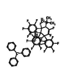 C[Si](C)(C)C1C(F)=C(F)C(OB[O-])(c2c(F)c(F)c(F)c(F)c2F)C(F)(c2c(F)c(F)c(F)c(F)c2F)C1(F)c1c(F)c(F)c(F)c(F)c1F.c1ccc([C+](c2ccccc2)c2ccccc2)cc1